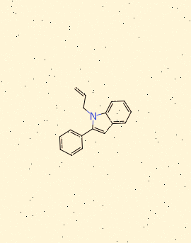 C=CCn1c(-c2ccccc2)cc2ccccc21